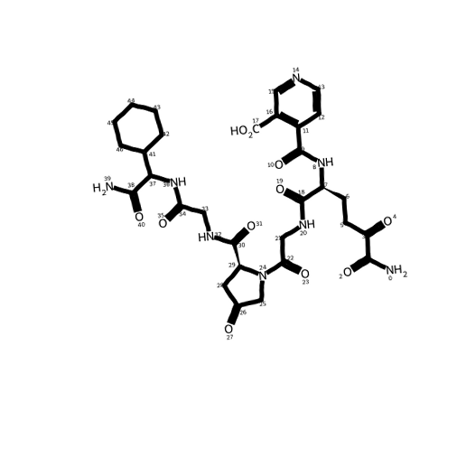 NC(=O)C(=O)CC[C@H](NC(=O)c1ccncc1C(=O)O)C(=O)NCC(=O)N1CC(=O)C[C@H]1C(=O)NCC(=O)NC(C(N)=O)C1CCCCC1